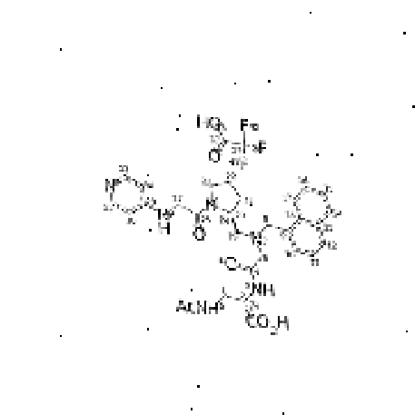 CC(=O)NC[C@H](NC(=O)CN(Cc1cccc2ccccc12)C[C@@H]1CCCN1C(=O)CNc1ccncc1)C(=O)O.O=C(O)C(F)(F)F